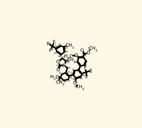 COC(=O)c1ccc(-c2cc(C3=C(CN4C(=O)O[C@H](c5cc(C)cc(C(F)(F)F)c5)[C@@H]4C)CC(C)(C)CC3)c(OC)cc2C(F)(F)F)cc1OC